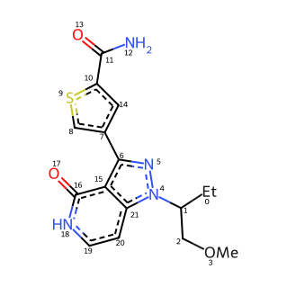 CCC(COC)n1nc(-c2csc(C(N)=O)c2)c2c(=O)[nH]ccc21